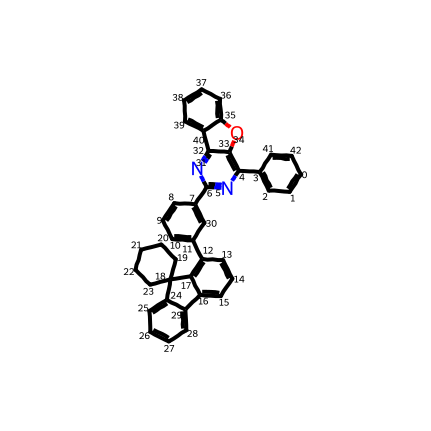 c1ccc(-c2nc(-c3cccc(-c4cccc5c4C4(CCCCC4)c4ccccc4-5)c3)nc3c2oc2ccccc23)cc1